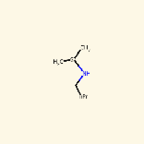 CCCCN[Si](C)C